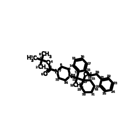 CC(C)(C)OC(=O)N1CCN(C(C)(c2ccccc2CCc2ccccc2)C2(O)CCCCC2)CC1